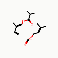 C=CC(C)=COC(=O)C(C)C.CC(C)=CCOC=O